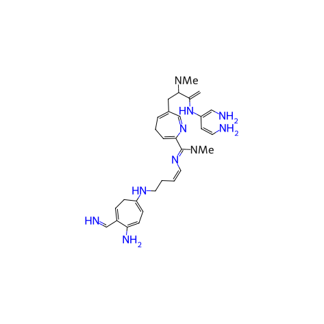 C=C(NC(/C=C\N)=C/N)C(CC1=CCC=C(/C(=N/C=C\CCNC2=CC=C(N)C(C=N)=CC2)NC)N=C1)NC